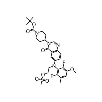 COc1cc(C)c(F)c(N(CCOS(C)(=O)=O)c2ccc3ncn(C4CCN(C(=O)OC(C)(C)C)CC4)c(=O)c3c2)c1F